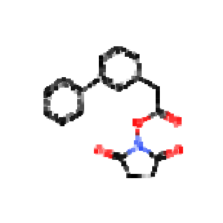 O=C(Cc1cccc(-c2ccccc2)c1)ON1C(=O)CCC1=O